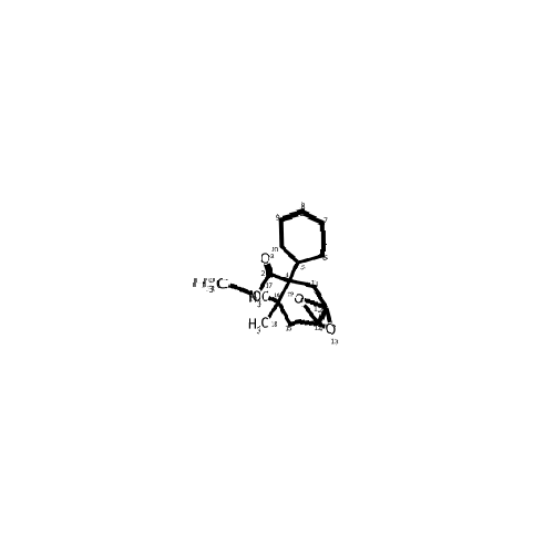 COC(=O)C1(C2CCCCC2)CC23OC2(CC1(C)C)O3